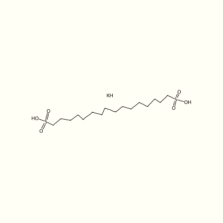 O=S(=O)(O)CCCCCCCCCCCCCCCCS(=O)(=O)O.[KH]